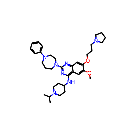 COc1cc2c(NC3CCN(C(C)C)CC3)nc(N3CCCN(c4ccccc4)CC3)nc2cc1OCCCN1CCCC1